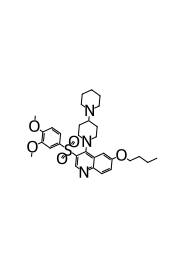 CCCCOc1ccc2ncc(S(=O)(=O)c3ccc(OC)c(OC)c3)c(N3CCC(N4CCCCC4)CC3)c2c1